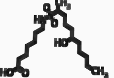 CCCCCC(O)CCCC(C)S(=O)(=O)NCCCCCCC(=O)O